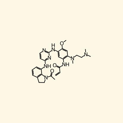 C=CC(=O)Nc1cc(Nc2nccc(Nc3cccc4c3N(C(C)=O)CC4)n2)c(OC)cc1N(C)CCN(C)C